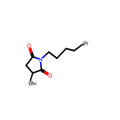 CC(C)CCCCN1C(=O)CC(C(C)(C)C)C1=O